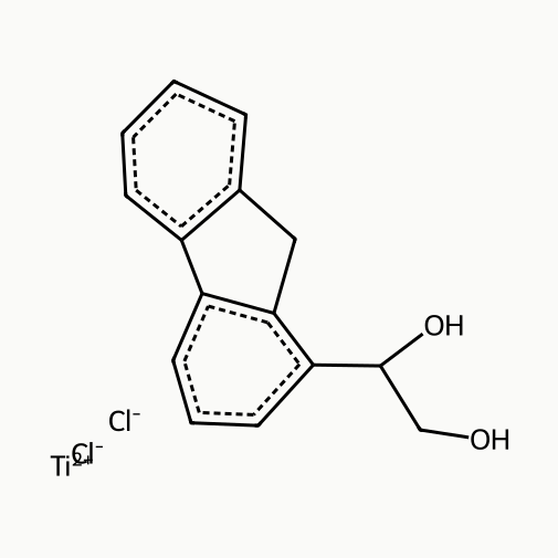 OCC(O)c1cccc2c1Cc1ccccc1-2.[Cl-].[Cl-].[Ti+2]